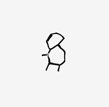 CC1CCC2CCC=CC2N(C)C1C